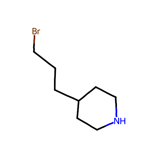 BrCCCC1CCNCC1